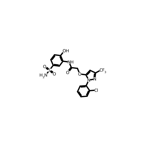 NS(=O)(=O)c1ccc(O)c(NC(=O)COc2cc(C(F)(F)F)nn2-c2ccccc2Cl)c1